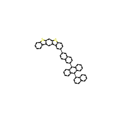 c1ccc2c(-c3c4ccccc4c(-c4ccc5cc(-c6ccc7sc8cc9sc%10ccccc%10c9cc8c7c6)ccc5c4)c4ccccc34)cccc2c1